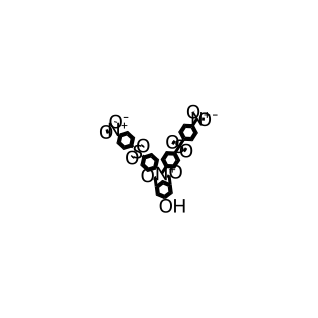 O=C1c2cc(O)cc(c2)C(=O)[N+]1(c1ccc(S(=O)(=O)c2ccc([N+](=O)[O-])cc2)cc1)c1ccc(S(=O)(=O)c2ccc([N+](=O)[O-])cc2)cc1